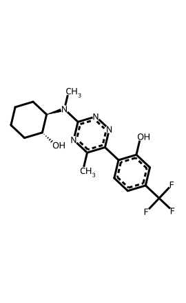 Cc1nc(N(C)[C@@H]2CCCC[C@H]2O)nnc1-c1ccc(C(F)(F)F)cc1O